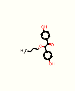 CCCCOC(C(=O)c1ccc(O)cc1)c1ccc(O)cc1